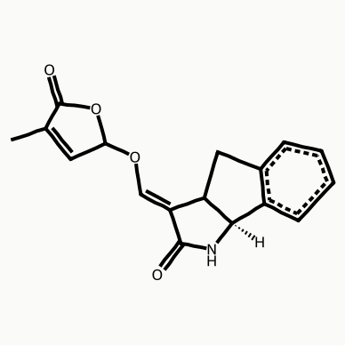 CC1=CC(O/C=C2/C(=O)N[C@@H]3c4ccccc4CC23)OC1=O